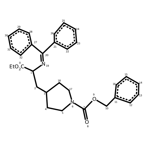 CCOC(=O)C(CC1CCN(C(=O)OCc2ccccc2)CC1)N=C(c1ccccc1)c1ccccc1